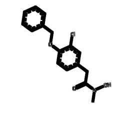 CN(O)C(=O)Cc1ccc(OCc2ccccc2)c(Cl)c1